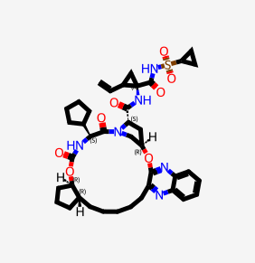 C=CC1C[C@]1(NC(=O)[C@@H]1C[C@@H]2CN1C(=O)[C@H](C1CCCC1)NC(=O)O[C@@H]1CCC[C@H]1CCCCCc1nc3ccccc3nc1O2)C(=O)NS(=O)(=O)C1CC1